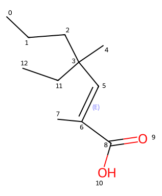 CCCC(C)(/C=C(\C)C(=O)O)CC